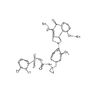 CCOC1=C2CN(c3ccc(CC4(NC(=O)NS(=O)(=O)c5cccc(Cl)c5Cl)CC4)cc3C)C=C2c2c(OCC)cccc2C1=O